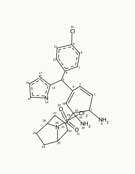 NC1C=CC(C(c2ccc(Cl)cc2)c2nccs2)=CC1(N)C1CC2CCC(C1)N2S(=O)(=O)C(F)(F)F